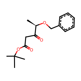 C[C@@H](OCc1ccccc1)C(=O)CC(=O)OC(C)(C)C